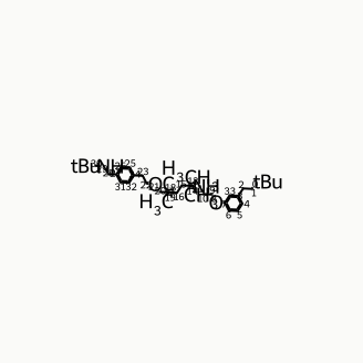 CC(C)(C)CCc1cccc(OCCNC(C)(C)CCC(C)(C)COCCc2ccc(CNC(C)(C)C)cc2)c1